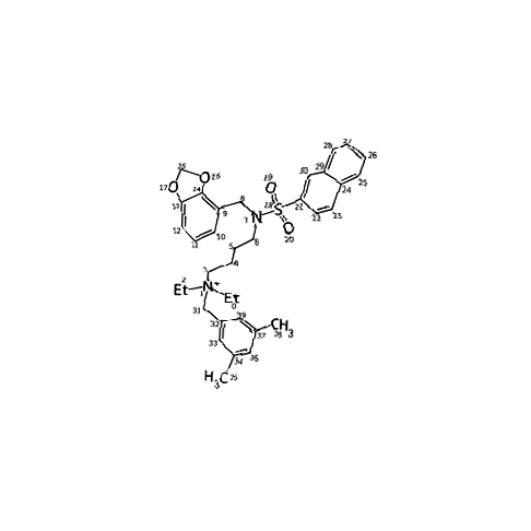 CC[N+](CC)(CCCCN(Cc1cccc2c1OCO2)S(=O)(=O)c1ccc2ccccc2c1)Cc1cc(C)cc(C)c1